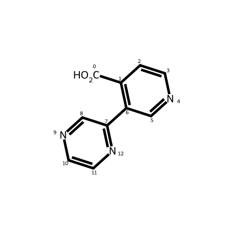 O=C(O)c1ccncc1-c1cnccn1